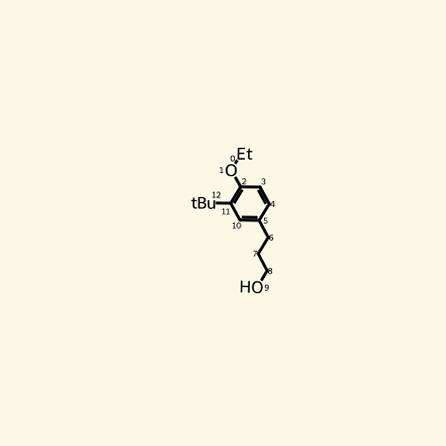 CCOc1ccc(CCCO)cc1C(C)(C)C